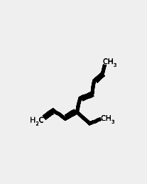 C=CC=C(C=CC=CC)CC